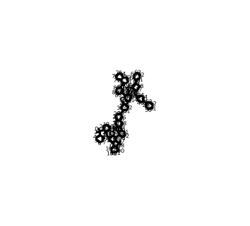 CC1(C)c2ccccc2N2c3cc4c(c5c3B(c3cccc1c32)n1c2cc3ccc(-c6ccc7c(c6)sc6c8c9c(cc67)N(c6ccc(-c7ccccc7)cc6)c6ccc(-c7ccccc7)cc6B9n6c7ccc9ccccc9c7c7cccc-8c76)cc3cc2c2cccc-5c21)C(C)(C)c1ccccc1-4